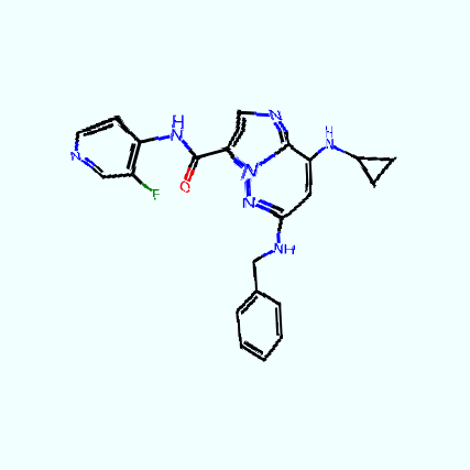 O=C(Nc1ccncc1F)c1cnc2c(NC3CC3)cc(NCc3ccccc3)nn12